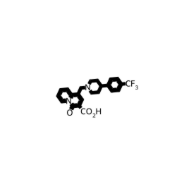 O=C(O)c1cc(CN2CCC(c3ccc(C(F)(F)F)cc3)CC2)c2ccccn2c1=O